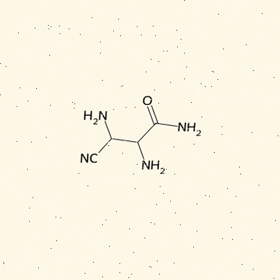 N#CC(N)C(N)C(N)=O